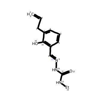 C=CCc1cccc(/C=N/NC(=O)NCC)c1O